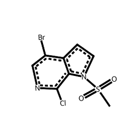 CS(=O)(=O)n1ccc2c(Br)cnc(Cl)c21